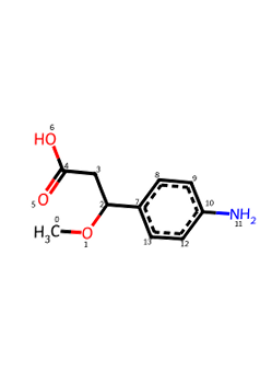 COC(CC(=O)O)c1ccc(N)cc1